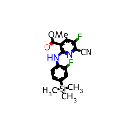 COC(=O)c1cc(F)c(C#N)nc1Nc1ccc([Si](C)(C)C)cc1F